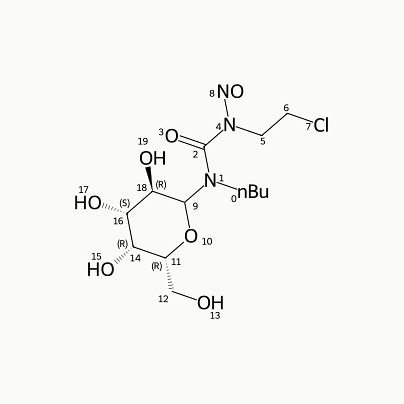 CCCCN(C(=O)N(CCCl)N=O)C1O[C@H](CO)[C@H](O)[C@H](O)[C@H]1O